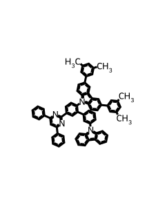 Cc1cc(C)cc(-c2ccc3c(c2)c2cc(-c4cc(C)cc(C)c4)ccc2n3-c2ccc(-c3nc(-c4ccccc4)cc(-c4ccccc4)n3)cc2-c2cccc(-n3c4ccccc4c4ccccc43)c2)c1